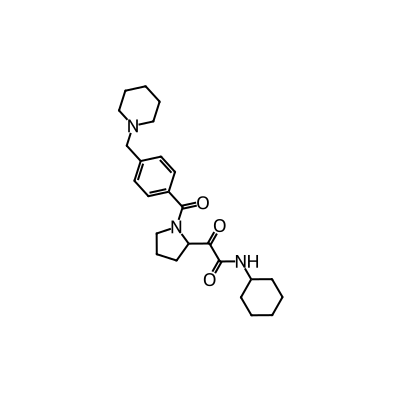 O=C(NC1CCCCC1)C(=O)C1CCCN1C(=O)c1ccc(CN2CCCCC2)cc1